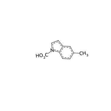 Cc1ccc2c(ccn2C(=O)O)c1